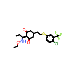 CCONC(CC)=C1C(=O)CC(CCSc2ccc(Cl)c(C(F)(F)F)c2)CC1=O